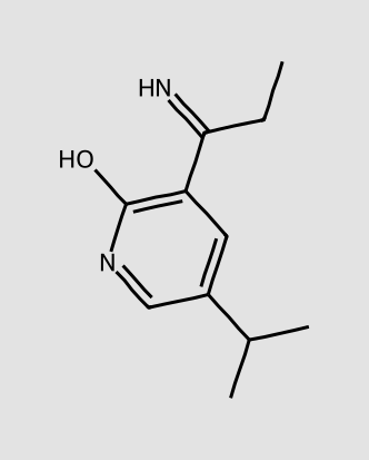 CCC(=N)c1cc(C(C)C)cnc1O